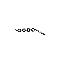 CCCCCCCCCC1CC=C(c2ccc(-c3ccc([C@H]4CC[C@H](CC)CC4)cc3)cc2)CC1